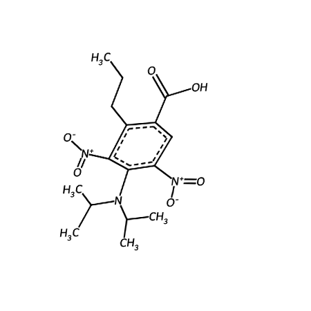 CCCc1c(C(=O)O)cc([N+](=O)[O-])c(N(C(C)C)C(C)C)c1[N+](=O)[O-]